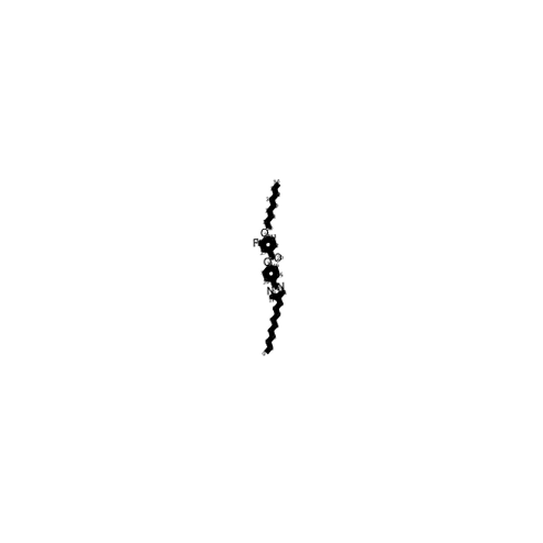 CCCCCCCCCCc1cnc(-c2ccc(OC(=O)c3ccc(OCCCCCCCCC)c(F)c3)cc2)nc1